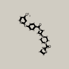 O=C(c1ccc(Oc2cc(C(F)(F)F)ccn2)cc1)N1CC(N2CCN(C(=O)c3nccs3)CC2)C1